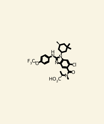 C[C@@H]1C[C@H](n2c(Nc3ccc(OC(F)(F)F)cc3)nc3cc(C(=O)N(C)[C@@H](C)C(=O)O)c(Cl)cc32)CC(C)(C)C1